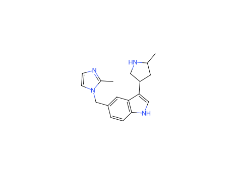 Cc1nccn1Cc1ccc2[nH]cc(C3CNC(C)C3)c2c1